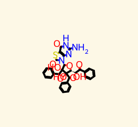 Nc1nc2c(sc(=O)n2[C@@H]2O[C@H](C(O)C(=O)c3ccccc3)[C@](O)(C(=O)c3ccccc3)[C@]2(O)C(=O)c2ccccc2)c(=O)[nH]1